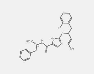 CCCC=CC(Cc1ccccc1Cl)Sc1ncc(C(=O)N[C@@H](Cc2ccccc2)C(=O)O)[nH]1